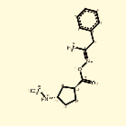 N/C(Cc1ccccc1)=N\OC(=O)[C@H]1CC[C@H](NC(=O)O)C1